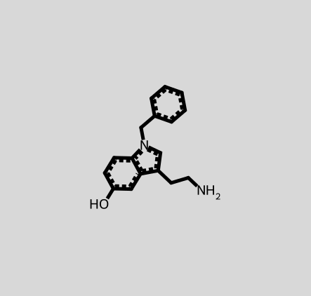 NCCc1cn(Cc2ccccc2)c2ccc(O)cc12